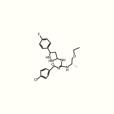 CCOC[C@H](C)N/C(=N/C(=O)c1ccc(Cl)cc1)NC1CC(c2ccc(F)cc2)NN1